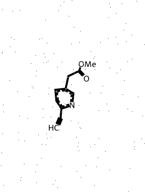 C#Cc1ccc(CC(=O)OC)cn1